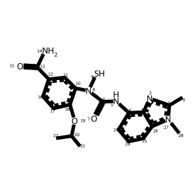 Cc1nc2c(NC(=O)N(S)c3cc(C(N)=O)ccc3OC(C)C)cccc2n1C